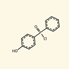 O=P(Cl)(c1ccccc1)c1ccc(O)cc1